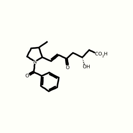 CC1CCN(C(=O)c2ccccc2)C1/C=C/C(=O)C[C@@H](O)CC(=O)O